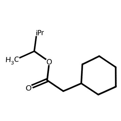 CC(C)C(C)OC(=O)CC1CCCCC1